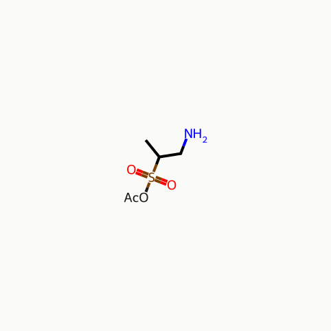 CC(=O)OS(=O)(=O)C(C)CN